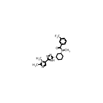 Cc1ncc(-c2nnc([C@H]3CCC[C@@H](N(C)C(=O)c4cccc(C(F)(F)F)c4)C3)[nH]2)n1C